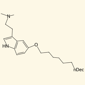 CCCCCCCCCCCCCCCCOc1ccc2[nH]cc(CCN(C)C)c2c1